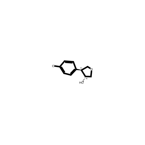 O[C@H]1COC[C@@H]1c1ccc(Cl)cc1